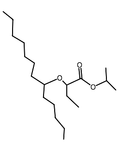 CCCCCCCC(CCCCC)OC(CC)C(=O)OC(C)C